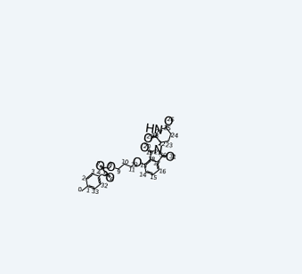 Cc1ccc(S(=O)(=O)OCCCOc2cccc3c2C(=O)N(C2CCC(=O)NC2=O)C3=O)cc1